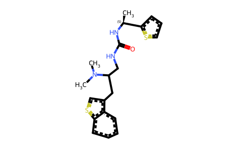 C[C@H](NC(=O)NCC(Cc1csc2ccccc12)N(C)C)c1cccs1